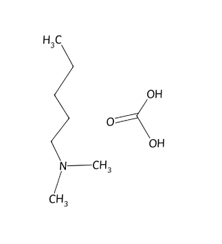 CCCCCN(C)C.O=C(O)O